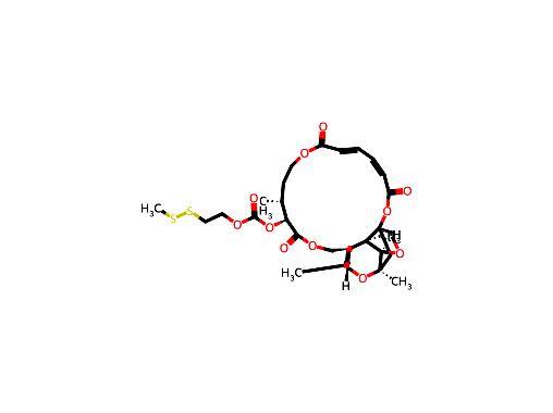 CSSCCOC(=O)O[C@@H]1C(=O)OC[C@]23CCC(C)=C[C@H]2O[C@]2(C)C[C@@H](OC(=O)/C=C\C=C\C(=O)OCC[C@H]1C)[C@@]3(C)[C@]21CO1